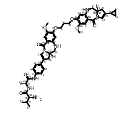 COc1cc2c(cc1OCCCOc1cc3c(cc1OC)C(=O)N1C=C(C4CC4)C[C@H]1CN3)NC[C@@H]1CC(c3ccc(NC(=O)[C@H](C)NC(=O)[C@@H](N)C(C)C)cc3)=CN1C2=O